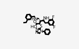 CCc1cccc(CNC[C@@H](C(Sc2nncn2-c2ccccc2)C(=O)O)[C@@H](N)Cc2cc(F)cc(F)c2)c1